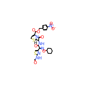 O=CNc1nc(C(=NOC2CCCCC2)C(=O)NC2C(=O)N3C(C(=O)OCc4ccc([N+](=O)[O-])cc4)=CCS[C@@H]23)cs1